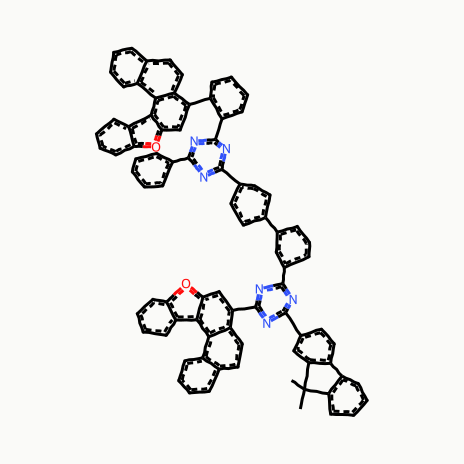 CC1(C)c2ccccc2-c2ccc(-c3nc(-c4cccc(-c5ccc(-c6nc(-c7ccccc7)nc(-c7ccccc7-c7cc8oc9ccccc9c8c8c7ccc7ccccc78)n6)cc5)c4)nc(-c4cc5oc6ccccc6c5c5c4ccc4ccccc45)n3)cc21